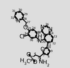 CS(=O)(=O)CC(N)c1ccc(-c2ccc3ncncc3c2Nc2ccc(OCc3ccccn3)c(Cl)c2)o1